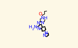 CCCC(=O)NCc1nc2c(N)nc3cc(-n4cccn4)ccc3c2n1CC